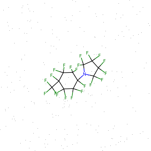 FC(F)(F)C1(F)C(F)(F)C(F)(F)C(F)(N2C(F)(F)C(F)(F)C(F)(F)C2(F)F)C(F)(F)C1(F)F